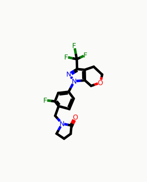 O=C1CCCN1Cc1ccc(-n2nc(C(F)(F)F)c3c2COCC3)cc1F